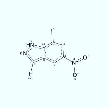 Cc1cc([N+](=O)[O-])cc2c(F)n[nH]c12